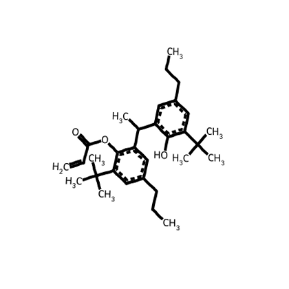 C=CC(=O)Oc1c(C(C)c2cc(CCC)cc(C(C)(C)C)c2O)cc(CCC)cc1C(C)(C)C